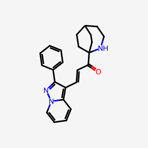 O=C(C=Cc1c(-c2ccccc2)nn2ccccc12)C12CCC(CCN1)CC2